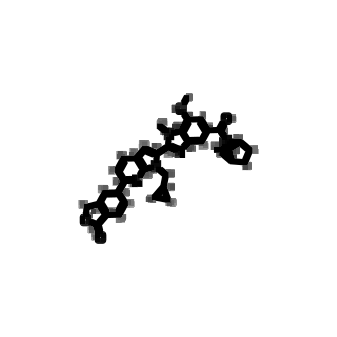 COc1cc(C(=O)N2CC3CCC2[C@@H]3C)cc2nc(-c3cc4ccc(-c5ccc6c(c5)COC6=O)nc4n3CC3CC3)n(C)c12